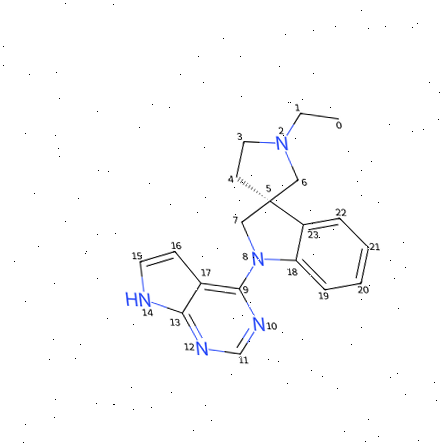 CCN1CC[C@@]2(C1)CN(c1ncnc3[nH]ccc13)c1ccccc12